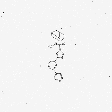 CN(C(=O)n1cnc(-c2cccc(-c3cccnc3)c2)c1)C12CC3CC(CC(C3)C1)C2